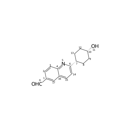 O=Cc1ccc2nc([C@H]3CC[C@@H](O)CC3)ccc2c1